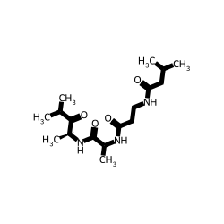 CC(C)CC(=O)NCCC(=O)NC(C)C(=O)N[C@@H](C)C(=O)C(C)C